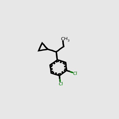 CC[C](c1ccc(Cl)c(Cl)c1)C1CC1